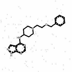 c1ccc(COCCN2CCC(Nc3ncnc4[nH]ncc34)CC2)cc1